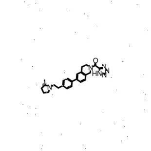 C[C@@H]1CCCN1CCc1ccc(-c2ccc3c(c2)CCN(C(=O)c2nnn[nH]2)C3)cc1